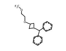 FC(F)(F)OCCOC1CN(C(c2ccccc2)c2ccccc2)C1